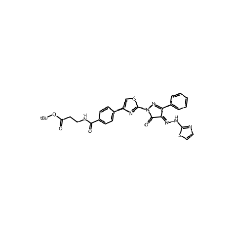 CC(C)(C)OC(=O)CCNC(=O)c1ccc(-c2csc(N3N=C(c4ccccc4)/C(=N\Nc4nccs4)C3=O)n2)cc1